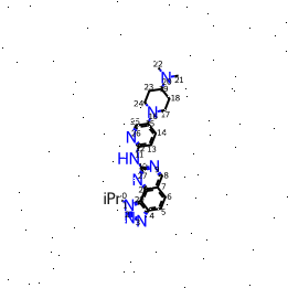 CC(C)n1nnc2ccc3cnc(Nc4ccc(N5CCC(N(C)C)CC5)cn4)nc3c21